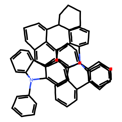 c1ccc(-c2ccccc2-c2ccccc2-c2ccccc2N(c2ccc3c(c2)c2ccccc2n3-c2ccccc2)c2ccccc2-c2cccc3cccc(C4CCCCC4)c23)cc1